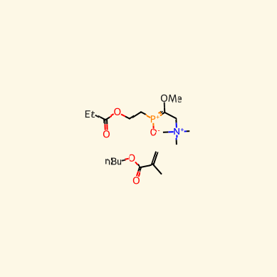 C=C(C)C(=O)OCCCC.CCC(=O)OCC/[P+]([O-])=C(/C[N+](C)(C)C)OC